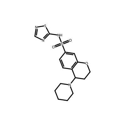 O=S(=O)(Nc1ncns1)c1ccc2c(c1)OCCC2N1CCCCC1